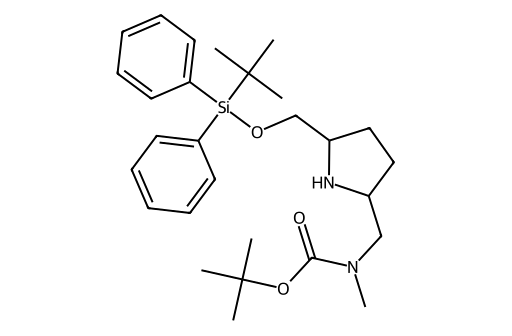 CN(CC1CCC(CO[Si](c2ccccc2)(c2ccccc2)C(C)(C)C)N1)C(=O)OC(C)(C)C